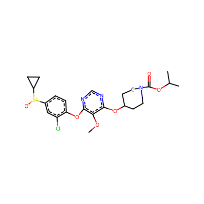 COc1c(Oc2ccc([S+]([O-])C3CC3)cc2Cl)ncnc1OC1CCN(C(=O)OC(C)C)CC1